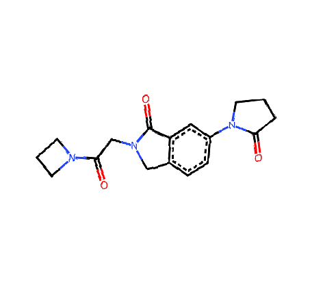 O=C(CN1Cc2ccc(N3CCCC3=O)cc2C1=O)N1CCC1